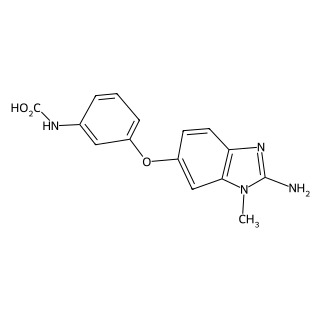 Cn1c(N)nc2ccc(Oc3cccc(NC(=O)O)c3)cc21